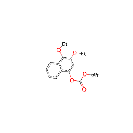 CCCOC(=O)Oc1cc(OCC)c(OCC)c2ccccc12